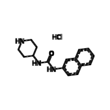 Cl.O=C(Nc1ccc2ccccc2c1)NC1CCNCC1